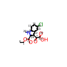 CCOC(=O)c1c(C(=O)C(=O)O)c2cc(Cl)ccc2n1C